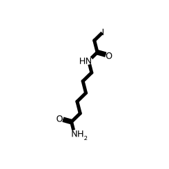 NC(=O)CCCCCNC(=O)CI